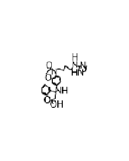 O=C(O)CC(Nc1ccc2c(c1)OCC(=O)N2CCCCNc1ncc[nH]1)c1ccccc1